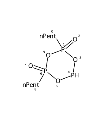 CCCCCP1(=O)OPOP(=O)(CCCCC)O1